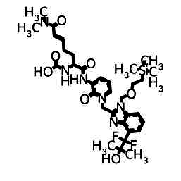 CN(C)C(=O)/C=C/CCC(NC(=O)O)C(=O)Nc1cccn(Cc2nc3c(C(F)(F)C(C)(C)O)cccc3n2COCC[Si](C)(C)C)c1=O